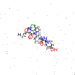 Cc1onc2c1c(=O)n(C1CCCC(NC(=O)CN3CCC(O)CC3)C1)c1cccc(Cl)c21